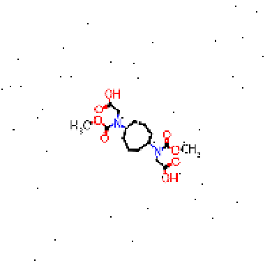 COC(=O)N(CC(=O)O)[C@H]1CCC[C@@H](N(CC(=O)O)C(=O)OC)CCC1